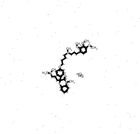 COc1ccc(CCCN(C)CCCCOc2ccc(C3(CCCN(C)C)Sc4ccccc4N(C)C3=O)cc2)c(OC)c1OC.Cl.Cl